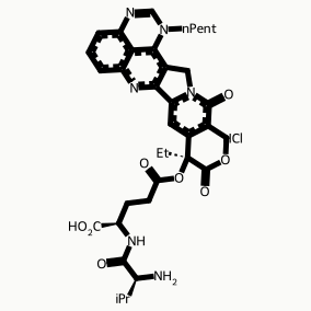 CCCCCN1C=Nc2cccc3nc4c(c1c23)Cn1c-4cc2c(c1=O)COC(=O)[C@@]2(CC)OC(=O)CC[C@@H](NC(=O)[C@@H](N)C(C)C)C(=O)O.Cl